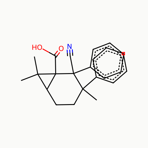 CC1(c2ccccc2)CCC2C(C)(C)C2(C(=O)O)C1(C#N)c1ccccc1